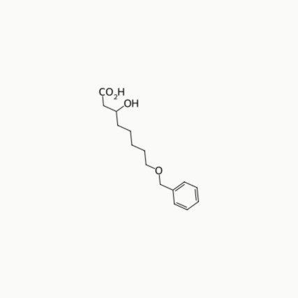 O=C(O)CC(O)CCCCCOCc1ccccc1